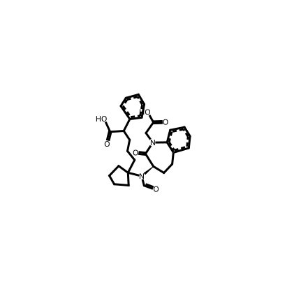 O=CN([C@@H]1CCc2ccccc2N(CC(=O)O)C1=O)C1(CCCC(C(=O)O)c2ccccc2)CCCC1